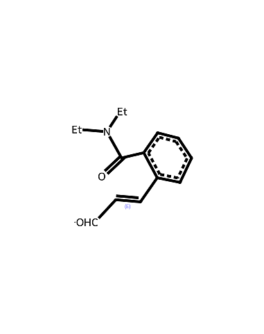 CCN(CC)C(=O)c1ccccc1/C=C/[C]=O